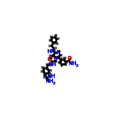 NC(=O)c1cccc(-c2cnc(NCCc3ccccc3)c(=O)n2CC(=O)NCc2ccc3nc(N)[nH]c3c2)c1